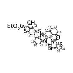 CCOC(=O)c1sc2ccc(SN(CCc3ccccc3)c3ccccc3N3CCN(C(=O)c4sccc4Br)CC3)cc2c1C